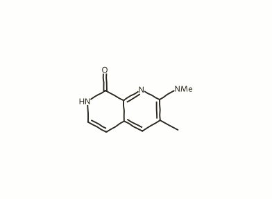 CNc1nc2c(=O)[nH]ccc2cc1C